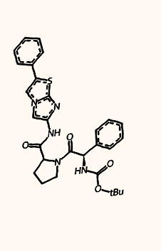 CC(C)(C)OC(=O)N[C@@H](C(=O)N1CCCC1C(=O)Nc1cn2cc(-c3ccccc3)sc2n1)c1ccccc1